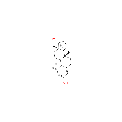 C=C1C=C(O)C=C2CC[C@@H]3[C@H](CC[C@]4(C)[C@H](O)CC[C@@H]34)C12